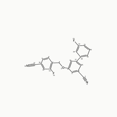 N#Cc1cc(OCc2ccc(C#N)cc2F)cc(-c2cccc(F)c2)c1